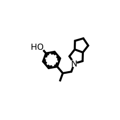 CC(CN1CC2CCCC2C1)c1ccc(O)cc1